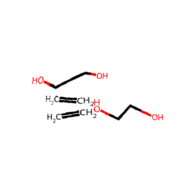 C=C.C=C.OCCO.OCCO